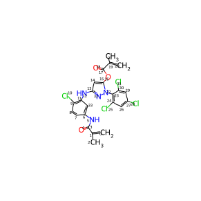 C=C(C)C(=O)Nc1ccc(Cl)c(Nc2cc(OC(=O)C(=C)C)n(-c3c(Cl)cc(Cl)cc3Cl)n2)c1